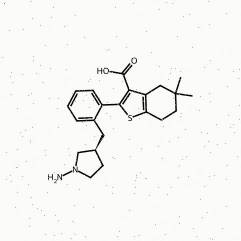 CC1(C)CCc2sc(-c3ccccc3C[C@H]3CCN(N)C3)c(C(=O)O)c2C1